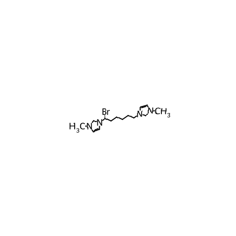 CN1C=CN(CCCCCC(Br)N2C=CN(C)C2)C1